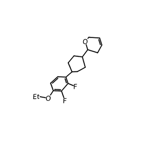 CCOc1ccc(C2CCC(C3CC=CCO3)CC2)c(F)c1F